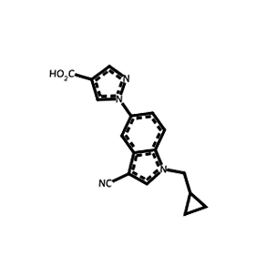 N#Cc1cn(CC2CC2)c2ccc(-n3cc(C(=O)O)cn3)cc12